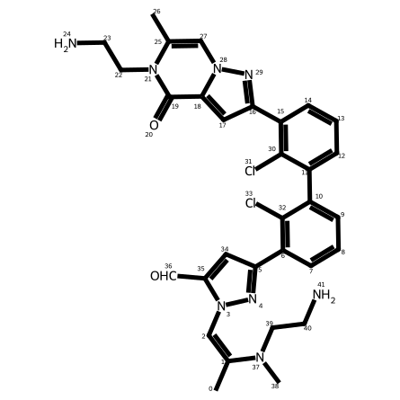 C/C(=C/n1nc(-c2cccc(-c3cccc(-c4cc5c(=O)n(CCN)c(C)cn5n4)c3Cl)c2Cl)cc1C=O)N(C)CCN